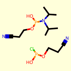 CC(C)N(C(C)C)P(O)OCCC#N.N#CCCOP(O)Cl